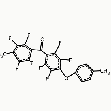 Cc1ccc(Oc2c(F)c(F)c(C(=O)c3c(F)c(F)c(C)c(F)c3F)c(F)c2F)cc1